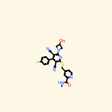 CNC(=O)c1cc(CSc2nc(N3CC(O)C3)c(C#N)c(-c3ccc(F)cc3)c2C#N)ccn1